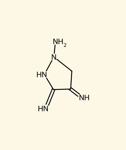 N=C1CN(N)NC1=N